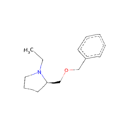 CCN1CCC[C@@H]1COCc1ccccc1